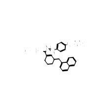 COc1ccc(-n2nc(C=O)c3c2C(Cc2cccc4ccccc24)CCC3)cc1